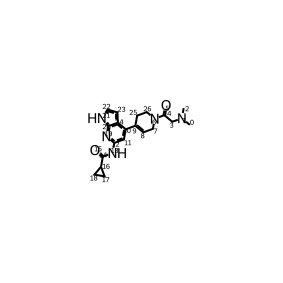 CN(C)CC(=O)N1CC=C(c2cc(NC(=O)C3CC3)nc3[nH]ccc23)CC1